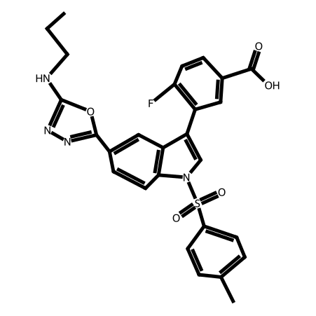 CCCNc1nnc(-c2ccc3c(c2)c(-c2cc(C(=O)O)ccc2F)cn3S(=O)(=O)c2ccc(C)cc2)o1